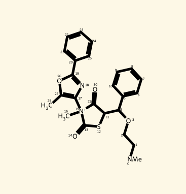 CNCCOC(c1ccccc1)C1SC(=O)[N+](C)(c2nc(-c3ccccc3)oc2C)C1=O